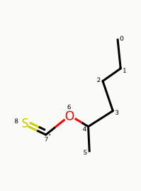 CCCCC(C)O[C]=S